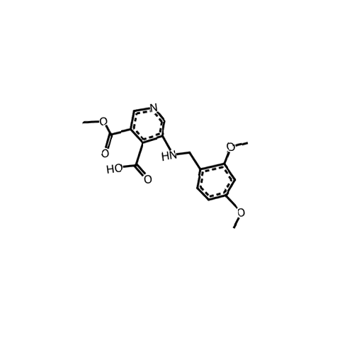 COC(=O)c1cncc(NCc2ccc(OC)cc2OC)c1C(=O)O